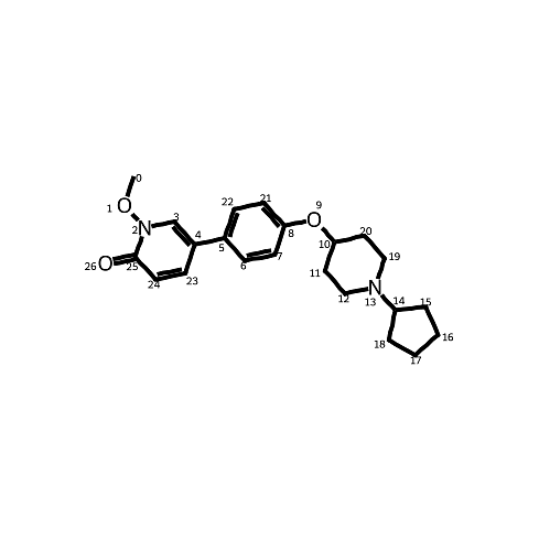 COn1cc(-c2ccc(OC3CCN(C4CCCC4)CC3)cc2)ccc1=O